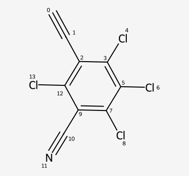 C#Cc1c(Cl)c(Cl)c(Cl)c(C#N)c1Cl